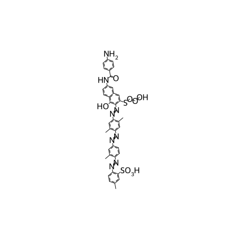 Cc1ccc(N=Nc2ccc(N=Nc3cc(C)c(N=Nc4c(SOOO)cc5cc(NC(=O)c6ccc(N)cc6)ccc5c4O)cc3C)cc2C)c(S(=O)(=O)O)c1